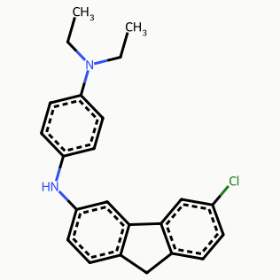 CCN(CC)c1ccc(Nc2ccc3c(c2)-c2cc(Cl)ccc2C3)cc1